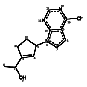 CC(O)C1=CC(n2ccc3c(Cl)ncnc32)CC1